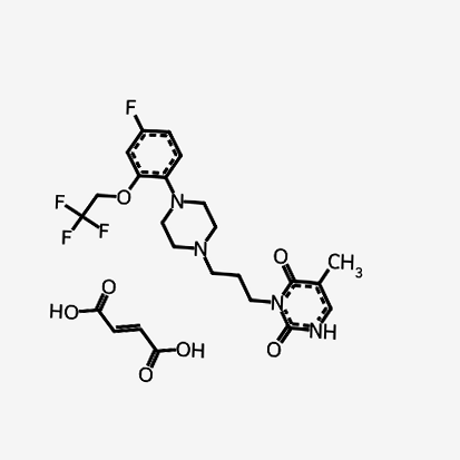 Cc1c[nH]c(=O)n(CCCN2CCN(c3ccc(F)cc3OCC(F)(F)F)CC2)c1=O.O=C(O)C=CC(=O)O